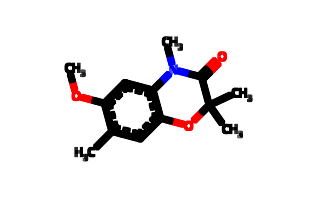 COc1cc2c(cc1C)OC(C)(C)C(=O)N2C